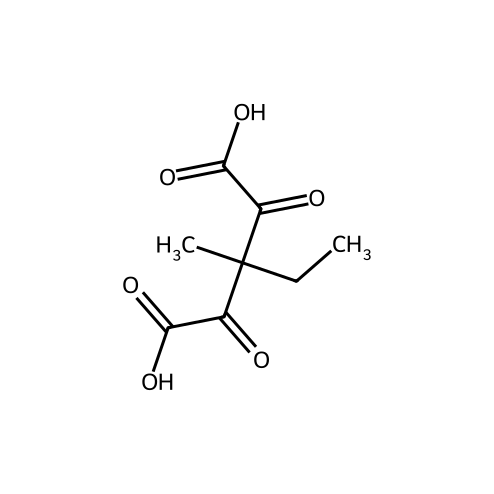 CCC(C)(C(=O)C(=O)O)C(=O)C(=O)O